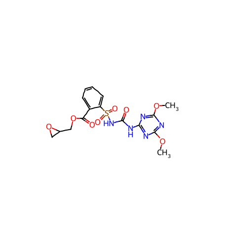 COc1nc(NC(=O)NS(=O)(=O)c2ccccc2C(=O)OCC2CO2)nc(OC)n1